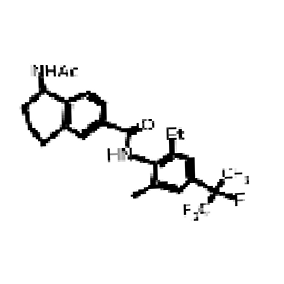 CCc1cc(C(F)(C(F)(F)F)C(F)(F)F)cc(C)c1NC(=O)c1ccc2c(c1)CCCC2NC(C)=O